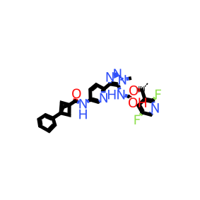 C[C@@H](OC(O)Nc1c(-c2ccc(NC(=O)C34CC(c5ccccc5)(C3)C4)cn2)nnn1C)c1cc(F)cnc1F